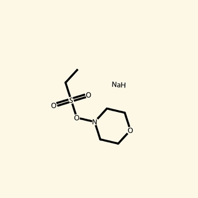 CCS(=O)(=O)ON1CCOCC1.[NaH]